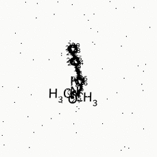 CC(=O)NC(C)Cc1ccc(C#Cc2ccc(-c3ccccc3)cc2)cc1